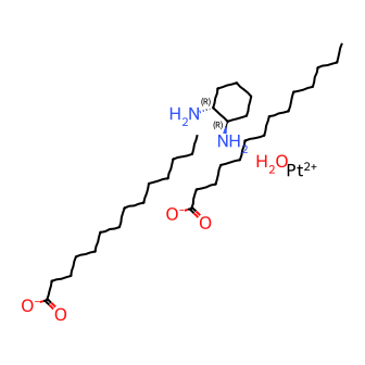 CCCCCCCCCCCCCC(=O)[O-].CCCCCCCCCCCCCC(=O)[O-].N[C@@H]1CCCC[C@H]1N.O.[Pt+2]